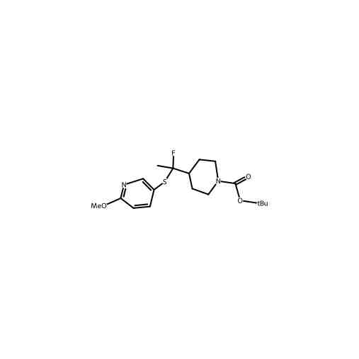 COc1ccc(SC(C)(F)C2CCN(C(=O)OC(C)(C)C)CC2)cn1